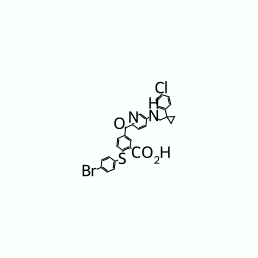 O=C(c1ccc(Sc2ccc(Br)cc2)c(C(=O)O)c1)c1ccc(NCC2(c3ccc(Cl)cc3)CC2)cn1